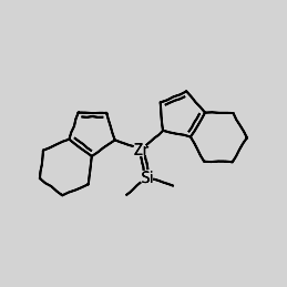 C[Si](C)=[Zr]([CH]1C=CC2=C1CCCC2)[CH]1C=CC2=C1CCCC2